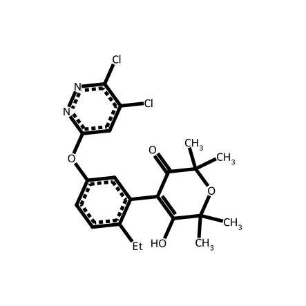 CCc1ccc(Oc2cc(Cl)c(Cl)nn2)cc1C1=C(O)C(C)(C)OC(C)(C)C1=O